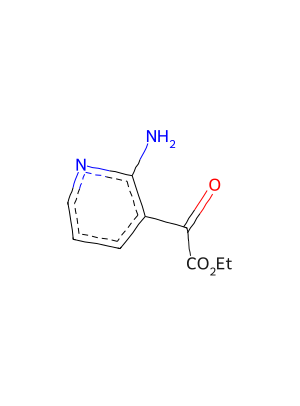 CCOC(=O)C(=O)c1cccnc1N